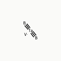 [B]#[Ta]#[B].[V]